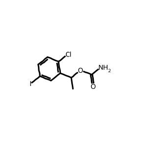 CC(OC(N)=O)c1cc(I)ccc1Cl